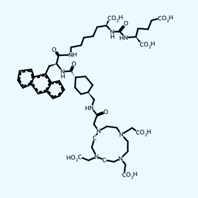 O=C(O)CCC[C@H](NC(=O)N[C@@H](CCCCCNC(=O)[C@H](Cc1c2ccccc2cc2ccccc12)NC(=O)[C@H]1CC[C@H](CNC(=O)CN2CCN(CC(=O)O)CCN(CC(=O)O)CCN(CC(=O)O)CC2)CC1)C(=O)O)C(=O)O